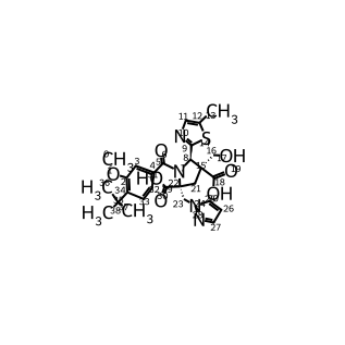 COc1cc(C(=O)N2[C@@H](c3ncc(C)s3)[C@@](CO)(C(=O)O)C[C@@]2(Cn2cccn2)C(=O)O)ccc1C(C)(C)C